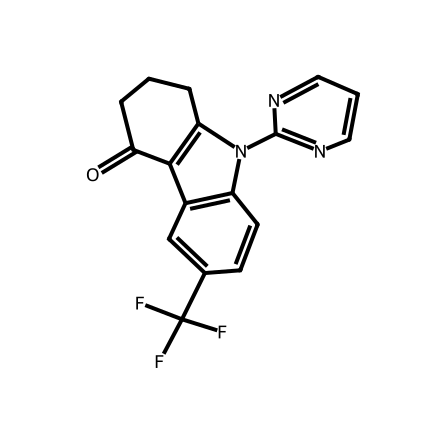 O=C1CCCc2c1c1cc(C(F)(F)F)ccc1n2-c1ncccn1